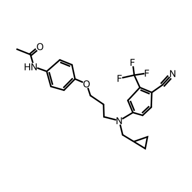 CC(=O)Nc1ccc(OCCCN(CC2CC2)c2ccc(C#N)c(C(F)(F)F)c2)cc1